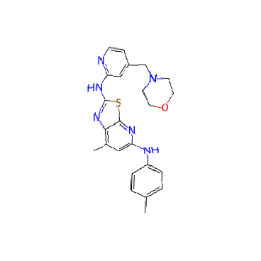 Cc1ccc(Nc2cc(C)c3nc(Nc4cc(CN5CCOCC5)ccn4)sc3n2)cc1